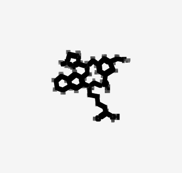 CCN(CCCCC(=O)O)c1cc2c(cc1CN(Cc1cc(C#N)cc(CF)c1)c1ncn(C)n1)CCCC2